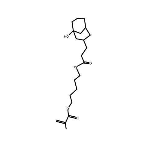 C=C(C)C(=O)OCCCCCNC(=O)CCC1CC2CCCC(O)(C2)C1